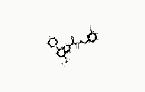 COc1ccc(N2CCOCC2)c2sc(C(=O)NCCc3cccc(F)c3)nc12